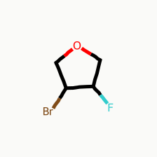 FC1COCC1Br